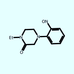 CCN1CCN(c2ccccc2N=O)CC1=O